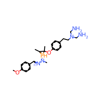 COc1ccc(/C=N/N(C)[PH]2=C(C)C2(C)Oc2ccc(CCN(CN)CN)cc2)cc1